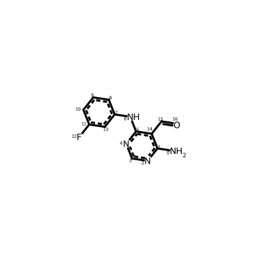 Nc1ncnc(Nc2cccc(F)c2)c1C=O